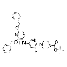 CC(C)(C)OC(=O)N1CCN(c2ncc(Nc3ccc(OCc4ccccc4)nc3OCc3ccccc3)cc2F)CC1